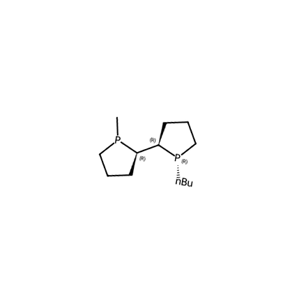 CCCC[P@@]1CCC[C@@H]1[C@H]1CCCP1C